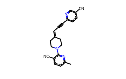 Cc1ccc(C#N)c(N2CCC(=CC#Cc3ccc(C#N)cn3)CC2)n1